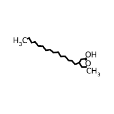 CCCCCCCCCCCCCCCC(CCC)CC(=O)O